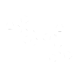 c1ccc(N(c2ccccc2)c2ccc3c(c2)c2cc(-c4ccc5ccc6cc7c(c8ccc4c5c68)c4ccccc4n7-c4ccccc4)ccc2n3-c2ccccc2)cc1